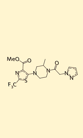 COC(=O)c1nc(C(F)(F)F)sc1N1CCN(C(=O)Cn2cccn2)C(C)C1